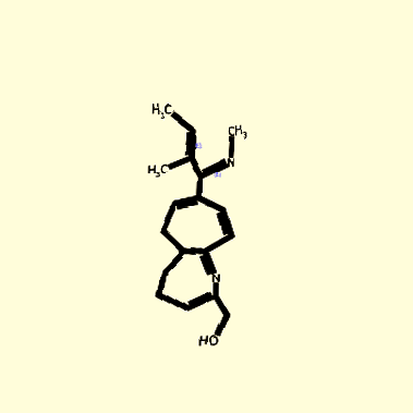 C/C=C(C)/C(=N\C)C1=CCC2CCC=C(CO)N=C2C=C1